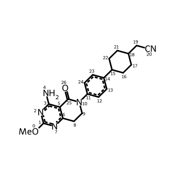 COc1nc(N)c2c(n1)CCN(c1ccc(C3CCC(CC#N)CC3)cc1)C2=O